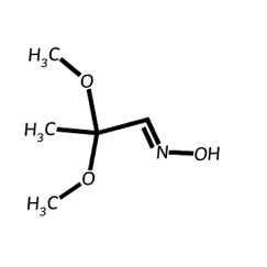 COC(C)(C=NO)OC